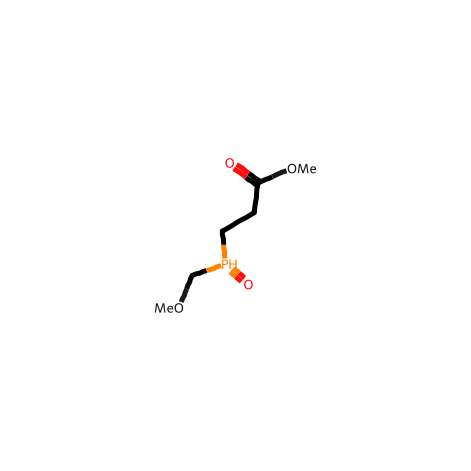 COC[PH](=O)CCC(=O)OC